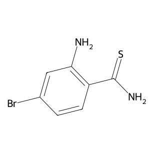 NC(=S)c1ccc(Br)cc1N